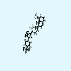 COc1cccc2ccc(N3CCC(c4nc(-c5ccc(C(F)(F)F)cc5)no4)CC3)nc12